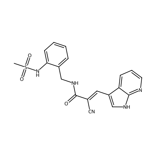 CS(=O)(=O)Nc1ccccc1CNC(=O)/C(C#N)=C/c1c[nH]c2ncccc12